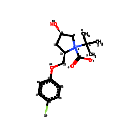 CC(C)(C)[N+]1(C(=O)[O-])C[C@@H](O)C[C@@H]1COc1ccc(F)cc1